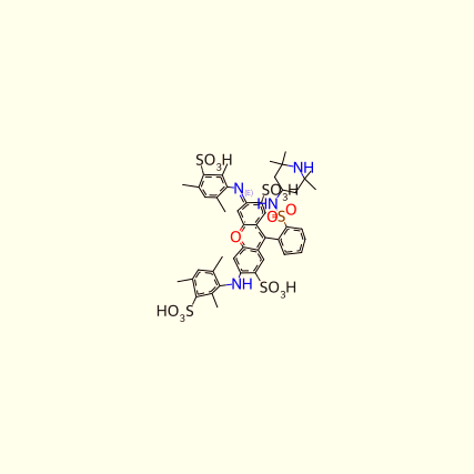 Cc1cc(C)c(S(=O)(=O)O)c(C)c1/N=c1\cc2oc3cc(Nc4c(C)cc(C)c(S(=O)(=O)O)c4C)c(S(=O)(=O)O)cc3c(-c3ccccc3S(=O)(=O)NC3CC(C)(C)NC(C)(C)C3)c-2cc1S(=O)(=O)O